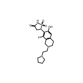 O=C1CN(c2c(O)cc3c(c2F)CN(CCN2CCCC2)CC3)S(=O)(=O)N1